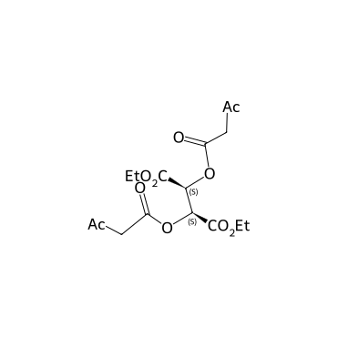 CCOC(=O)[C@@H](OC(=O)CC(C)=O)[C@H](OC(=O)CC(C)=O)C(=O)OCC